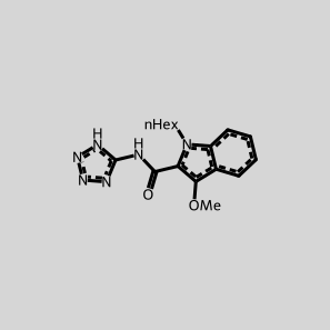 CCCCCCn1c(C(=O)Nc2nnn[nH]2)c(OC)c2ccccc21